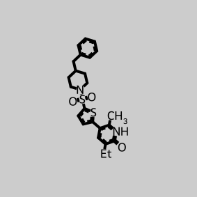 CCc1cc(-c2ccc(S(=O)(=O)N3CCC(Cc4ccccc4)CC3)s2)c(C)[nH]c1=O